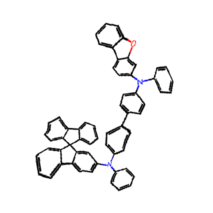 c1ccc(N(c2ccc(-c3ccc(N(c4ccccc4)c4ccc5c(c4)oc4ccccc45)cc3)cc2)c2ccc3c(c2)C2(c4ccccc4-c4ccccc42)c2ccccc2-3)cc1